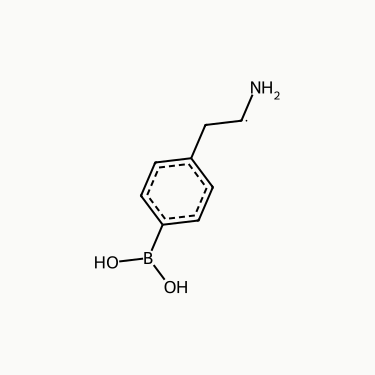 N[CH]Cc1ccc(B(O)O)cc1